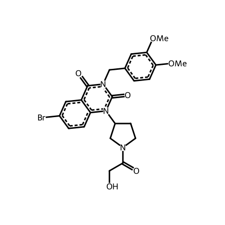 COc1ccc(Cn2c(=O)c3cc(Br)ccc3n(C3CCN(C(=O)CO)C3)c2=O)cc1OC